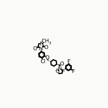 CN1CC(=O)N(c2ccc(Cl)c(OC[C@H]3CC[C@H](C(=O)N4OCC[C@H]4c4cc(F)cc(F)c4)CC3)c2)C1=O